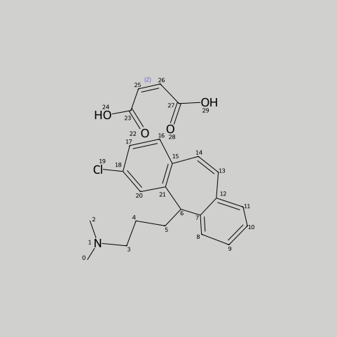 CN(C)CCCC1c2ccccc2C=Cc2ccc(Cl)cc21.O=C(O)/C=C\C(=O)O